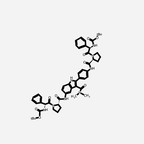 CN(C)C(=O)c1c(-c2ccc(NC(=O)[C@@H]3CCCN3C(=O)[C@H](NC(=O)OC(C)(C)C)c3ccccc3)cc2)[nH]c2ccc(NC(=O)[C@@H]3CCCN3C(=O)[C@H](NC(=O)OC(C)(C)C)c3ccccc3)cc12